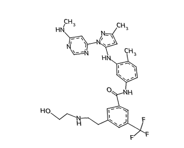 CNc1cc(-n2nc(C)cc2Nc2cc(NC(=O)c3cc(CCNCCO)cc(C(F)(F)F)c3)ccc2C)ncn1